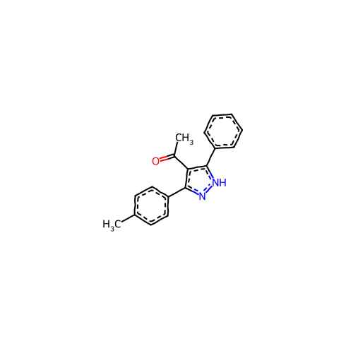 CC(=O)c1c(-c2ccc(C)cc2)n[nH]c1-c1ccccc1